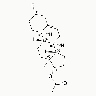 CC(=O)O[C@H]1CC[C@H]2[C@@H]3CC=C4C[C@@H](F)CC[C@@H]4[C@H]3CC[C@]12C